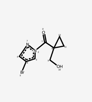 O=C(n1cc(Br)cn1)C1(CO)CC1